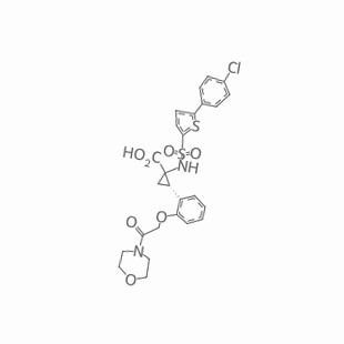 O=C(COc1ccccc1[C@@H]1CC1(NS(=O)(=O)c1ccc(-c2ccc(Cl)cc2)s1)C(=O)O)N1CCOCC1